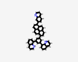 c1cnc2cc(-c3ccc4ccc5c(-c6cc(-c7cccc8cccnc78)cc(-c7cccc8cccnc78)c6)ccc6ccc3c4c65)ccc2c1